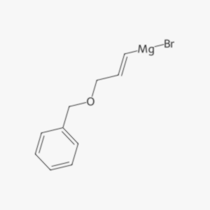 [Br][Mg][CH]=CCOCc1ccccc1